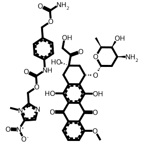 COc1cccc2c1C(=O)c1c(O)c3c(c(O)c1C2=O)C[C@@](O)(C(=O)CO)C[C@@H]3O[C@H]1C[C@H](N)[C@H](O)[C@H](C)O1.Cn1c([N+](=O)[O-])cnc1COC(=O)Nc1ccc(COC(N)=O)cc1